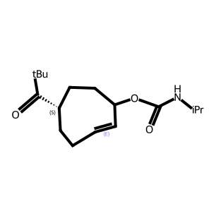 CC(C)NC(=O)OC1/C=C/CC[C@H](C(=O)C(C)(C)C)CC1